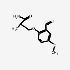 COc1ccc(OCC(C)C(N)=O)c(C=O)c1